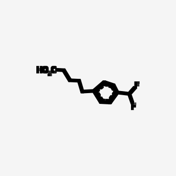 O=C(O)CCCCc1ccc(C(F)F)cc1